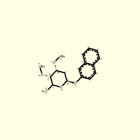 CCCCO[C@@H]1C[C@@H](Oc2ccc3ccccc3c2)OC(C)[C@@H]1OCCCC